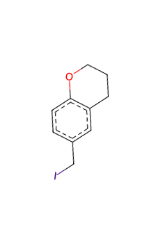 ICc1ccc2c(c1)CCCO2